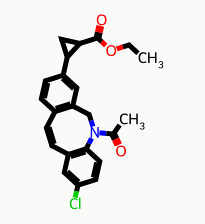 CCOC(=O)C1CC1c1ccc2c(c1)CN(C(C)=O)c1ccc(Cl)cc1C=C2